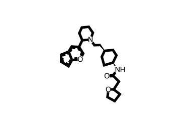 O=C(CC1CCCO1)N[C@H]1CC[C@H](CCN2CCCCC2c2coc3cccc-3c2)CC1